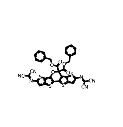 N#CC(C#N)=Nc1cc2sc3c(c2s1)OC(C(=O)OCc1ccccc1)(C(=O)OCc1ccccc1)c1c-3sc2cc(N=C(C#N)C#N)sc12